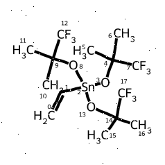 C=[CH][Sn]([O]C(C)(C)C(F)(F)F)([O]C(C)(C)C(F)(F)F)[O]C(C)(C)C(F)(F)F